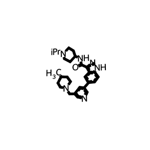 CC1CCN(Cc2cncc(-c3ccc4[nH]nc(C(=O)NC5CCN(C(C)C)CC5)c4c3)c2)CC1